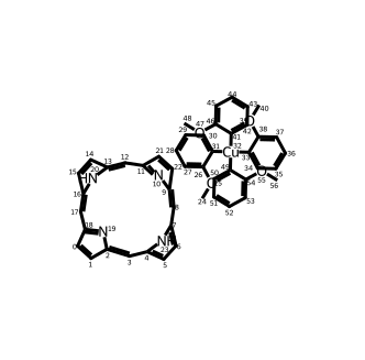 C1=Cc2cc3ccc(cc4nc(cc5ccc(cc1n2)[nH]5)C=C4)[nH]3.COc1cccc[c]1[Cu]([c]1ccccc1OC)([c]1ccccc1OC)[c]1ccccc1OC